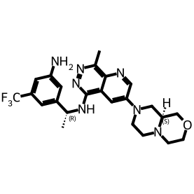 Cc1nnc(N[C@H](C)c2cc(N)cc(C(F)(F)F)c2)c2cc(N3CCN4CCOC[C@@H]4C3)cnc12